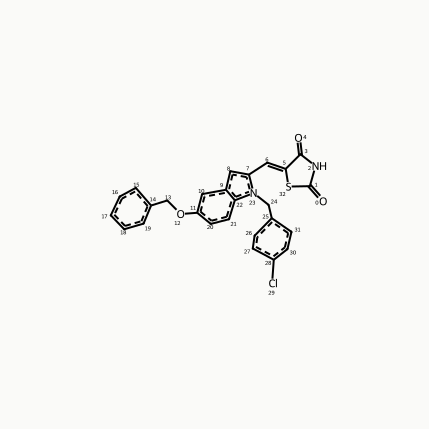 O=C1NC(=O)C(=Cc2cc3cc(OCc4ccccc4)ccc3n2Cc2ccc(Cl)cc2)S1